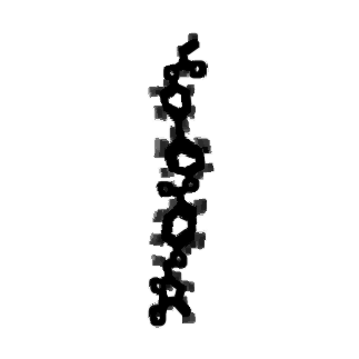 C=CC(=O)Oc1ccc(-c2ccc(OC(=O)c3ccc(OCC4CC(=C)C(=O)O4)cc3)cc2)cc1